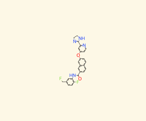 O=C(Nc1cc(CF)ccc1F)c1ccc2ccc(Oc3ccnc(C4=NCCN4)c3)cc2c1